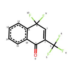 O=C1C(C(F)(F)F)=CC(F)(F)c2ccccc21